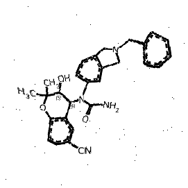 CC1(C)Oc2ccc(C#N)cc2[C@H](N(C(N)=O)c2ccc3c(c2)CN(Cc2ccccc2)C3)[C@@H]1O